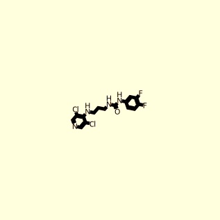 O=C(NCCCNc1c(Cl)cncc1Cl)Nc1ccc(F)c(F)c1